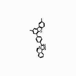 Cc1ccc2sc3c(-c4ccc(-c5nnc6c7ccccc7ccn56)cc4)cc(C)cc3c2c1